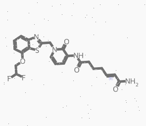 NC(=O)/C=C/CCCC(=O)Nc1cccn(Cc2nc3cccc(OCC(F)F)c3s2)c1=O